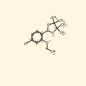 CC1(C)OB(c2ccc(Cl)cc2OCC#N)OC1(C)C